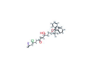 C=C(I)CC(Cl)CCC(=O)/C=C/C(O)CCCO[Si](c1ccccc1)(c1ccccc1)C(C)(C)C